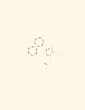 COC(=O)Cc1c(Cl)nc(-c2ccccc2)n1Cc1ccc(C)cc1